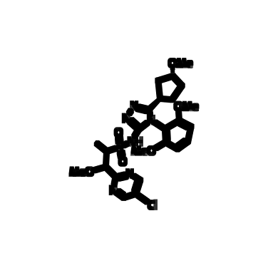 COc1cccc(OC)c1-n1c(NS(=O)(=O)C(C)C(OC)c2ncc(Cl)cn2)nnc1[C@@H]1CC[C@@H](OC)C1